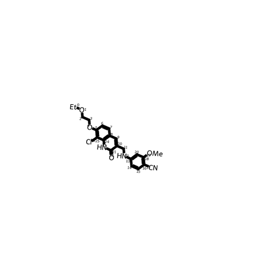 CCOCCOc1ccc2cc(CNc3ccc(C#N)c(OC)c3)c(=O)[nH]c2c1Cl